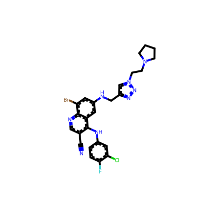 N#Cc1cnc2c(Br)cc(NCc3cn(CCN4CCCC4)nn3)cc2c1Nc1ccc(F)c(Cl)c1